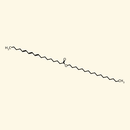 CCCCC=CC=CC=CCCCCCCCC(=O)OCCCCCCCCCCCCCCCCC